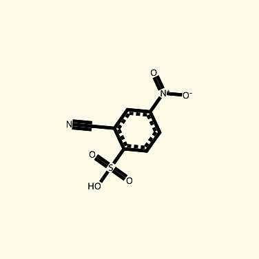 N#Cc1cc([N+](=O)[O-])ccc1S(=O)(=O)O